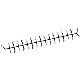 FCC(F)(F)C(F)(F)C(F)(F)C(F)(F)C(F)(F)C(F)(F)C(F)(F)C(F)(F)C(F)(F)C(F)(F)C(F)(F)C(F)(F)C(F)(F)C(F)(F)C(F)(F)[C](F)F